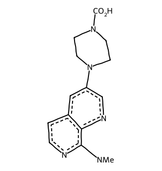 CNc1nccc2cc(N3CCN(C(=O)O)CC3)cnc12